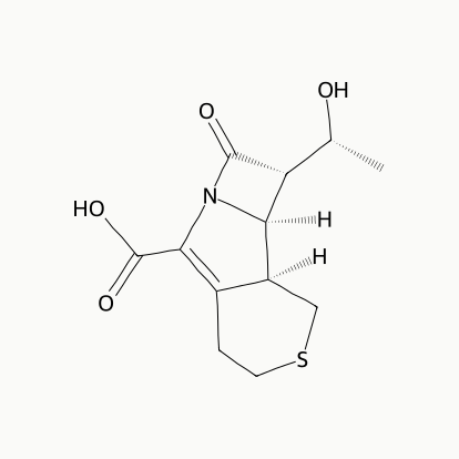 C[C@@H](O)[C@H]1C(=O)N2C(C(=O)O)=C3CCSC[C@@H]3[C@H]12